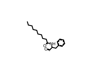 CCCCCCCCCC(=O)NC([C]=O)Cc1ccccc1